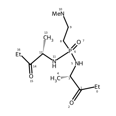 CCC(=O)[C@H](C)NP(=O)(CCNC)N[C@@H](C)C(=O)CC